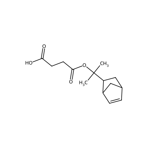 CC(C)(OC(=O)CCC(=O)O)C1CC2C=CC1C2